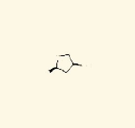 OC1CNC(=S)C1